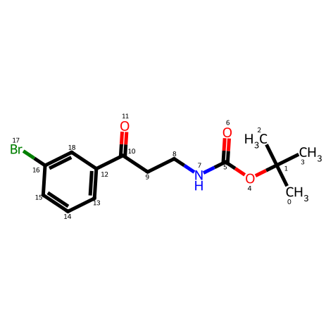 CC(C)(C)OC(=O)NCCC(=O)c1cccc(Br)c1